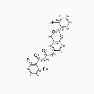 O=C(NC(=O)c1c(F)cccc1F)Nc1ccc2c(c1)COC(c1ccccc1F)O2